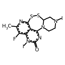 Cc1nc2c3c(nc(=O)n(I)c3c1F)N1CCN(I)CC1SS2